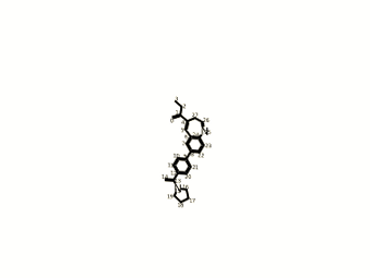 C=C(CC)C1=Cc2cc(-c3ccc(C(=C)N4CCCC4)cc3)ccc2N=CC1